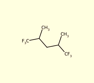 CC(CC(C)C(F)(F)F)C(F)(F)F